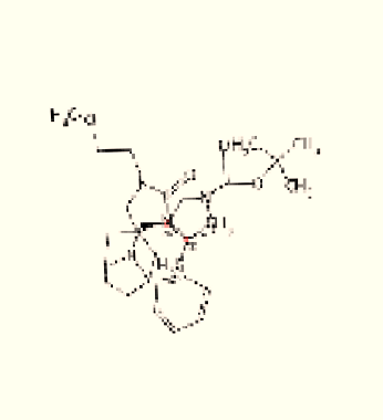 COCCN1CC2(CC3CCC(C2)N3C[C@H]2CN(C(=O)OC(C)(C)C)C[C@@H]2c2ccccc2)N(C(C)C)C1=O